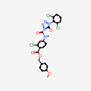 COc1ccc(COC(=O)c2ccc(N(C)C(=O)n3nnn(-c4c(Cl)cccc4Cl)c3=O)cc2Cl)cc1